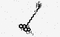 C[C@@]12[CH]CC[C@H]1[C@@H]1C(CCCCCCCCCSCCCC(F)(F)C(F)(F)F)Cc3c[c]ccc3[C@H]1CC2